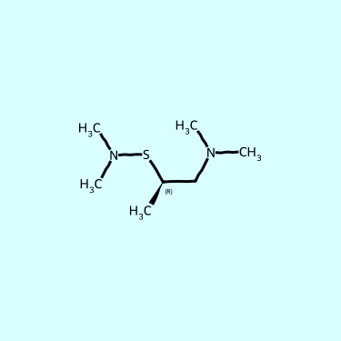 C[C@H](CN(C)C)SN(C)C